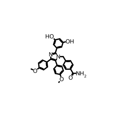 COc1ccc(-c2nc(-c3cc(O)cc(O)c3)n(Cc3ccc(C(N)=O)cc3)c2-c2ccc(OC)cc2)cc1